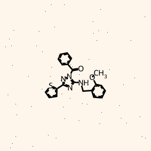 COc1ccccc1CNc1nc(-c2cccs2)nn1C(=O)c1ccccc1